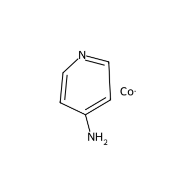 Nc1ccncc1.[Co]